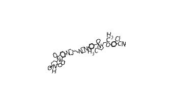 CC(CC1CCC(C)N1C(=O)c1ccc(N2CCN(CCC3CCN(c4ccc5c(c4)C(=O)N(C4CCC(=O)NC4=O)C5=O)CC3)CC2)cc1)Oc1ccc(C#N)c(Cl)c1